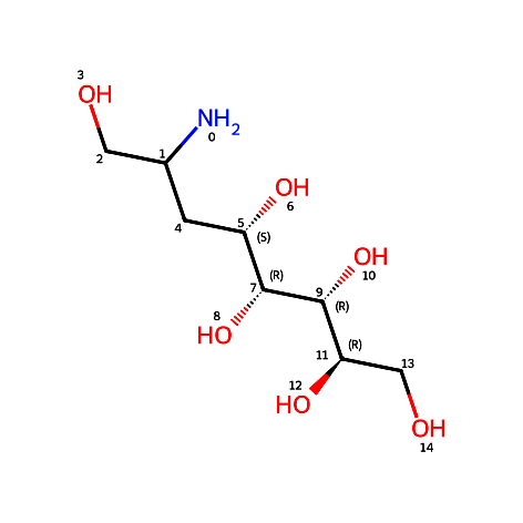 NC(CO)C[C@H](O)[C@@H](O)[C@H](O)[C@H](O)CO